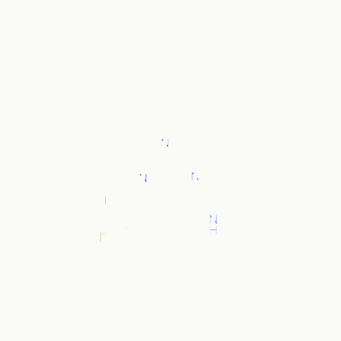 CNc1nc(N2CCCC[C@H]2C)nc2c1CCC2(F)F